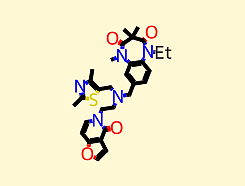 CCN1C(=O)C(C)(C)C(=O)N(C)c2cc(CN(CCn3ccc4occc4c3=O)Cc3sc(C)nc3C)ccc21